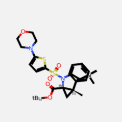 CC(C)(C)OC(=O)[C@@]1(N(CC[Si](C)(C)C)S(=O)(=O)c2ccc(N3CCOCC3)s2)C[C@@]1(C)c1ccccc1